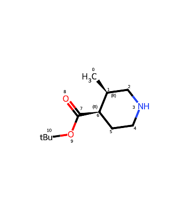 C[C@H]1CNCC[C@H]1C(=O)OC(C)(C)C